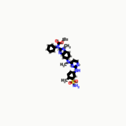 Cc1ccc(Nc2nccc(N(C)c3ccc4c(c3)nc(N(C(=O)OC(C)(C)C)c3ccccc3)n4C)n2)cc1S(N)(=O)=O